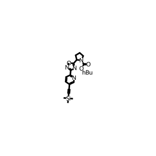 CCCCOC(=O)N1CCCC1c1nc(-c2ccc(C#C[Si](C)(C)C)cn2)no1